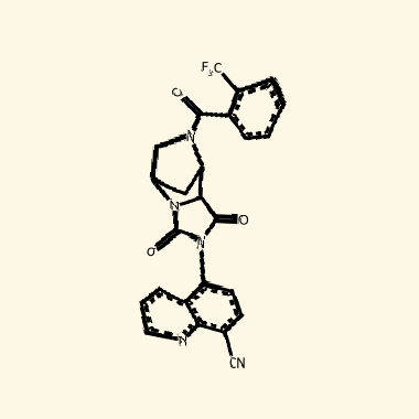 N#Cc1ccc(N2C(=O)C3C4CC(CN4C(=O)c4ccccc4C(F)(F)F)N3C2=O)c2cccnc12